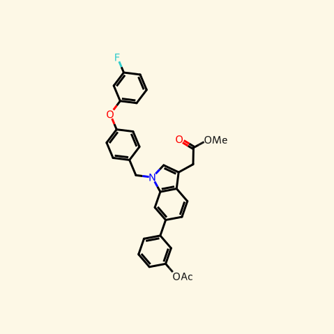 COC(=O)Cc1cn(Cc2ccc(Oc3cccc(F)c3)cc2)c2cc(-c3cccc(OC(C)=O)c3)ccc12